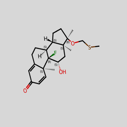 CSCO[C@]1(C)CC[C@H]2[C@@H]3CCC4=CC(=O)C=C[C@]4(C)[C@@]3(F)[C@@H](O)C[C@@]21C